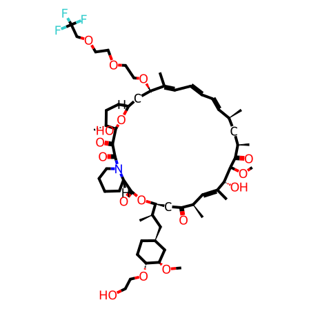 COC1C(=O)[C@H](C)C[C@H](C)/C=C/C=C/C=C(\C)[C@H](OCCOCCOCC(F)(F)F)C[C@@H]2CC[C@@H](C)[C@@](O)(O2)C(=O)C(=O)N2CCCC[C@H]2C(=O)O[C@H]([C@H](C)C[C@@H]2CC[C@@H](OCCO)[C@H](OC)C2)CC(=O)[C@H](C)/C=C(\C)[C@H]1O